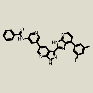 Cc1cc(F)cc(-c2ccnc3[nH]c(-c4n[nH]c5ncc(-c6cncc(NC(=O)c7ccccc7)c6)cc45)nc23)c1